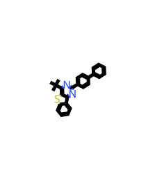 CC(C)(C)c1nc(-c2ccc(-c3ccccc3)cc2)nc2c1sc1ccccc12